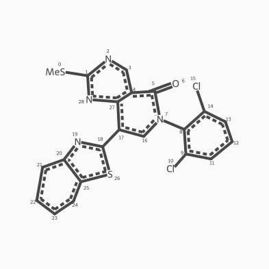 CSc1ncc2c(=O)n(-c3c(Cl)cccc3Cl)cc(-c3nc4ccccc4s3)c2n1